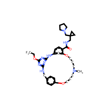 CN1CCCOc2ccc(cc2)CNc2nc(nc(OCC(F)(F)F)n2)Nc2ccc(C(=O)NCC3(CN4CCCC4)CC3)c(c2)OCCC1